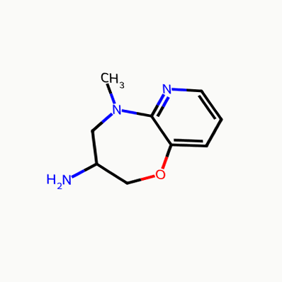 CN1CC(N)COc2cccnc21